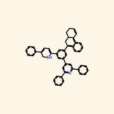 C1=CC2=c3ccccc3=C(c3cc(C4=CC=C(c5ccccc5)CN4)cc(-c4cc(-c5ccccc5)nc(-c5ccccc5)c4)c3)CC2CC1